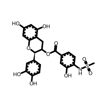 CS(=O)(=O)Nc1ccc(C(=O)OC2Cc3c(O)cc(O)cc3O[C@@H]2c2ccc(O)c(O)c2)cc1O